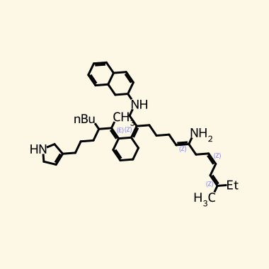 CCCCC(CCCC1=CCNC1)/C(C)=C1\C=CCC\C1=C(/CCC/C=C(\N)C/C=C\C=C(\C)CC)CNC1C=CC2C=CC=CC2C1